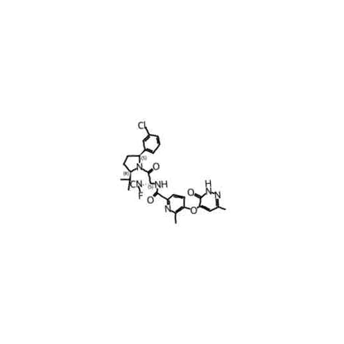 Cc1cc(Oc2ccc(C(=O)N[C@H](CF)C(=O)N3[C@H](c4cccc(Cl)c4)CC[C@@H]3C(C)(C)C#N)nc2C)c(=O)[nH]n1